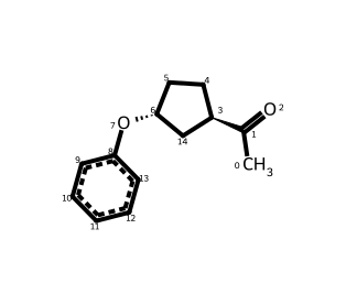 CC(=O)[C@@H]1CC[C@@H](Oc2ccccc2)C1